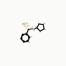 Cl.P.c1ccc([CH2][Mg][CH]2CCCC2)cc1